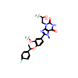 CC(Oc1ccc(-c2nc3c(c(=O)[nH]c(=O)n3CC(O)C(F)(F)F)n2C)cc1OC(F)(F)F)c1ccc(F)cc1